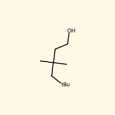 CC(C)(C)CC(C)(C)CCO